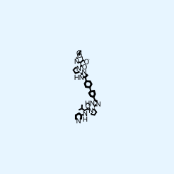 COO/C=N\[C@H](C(=O)N1CCC[C@H]1c1ncc(-c2ccc(-c3ccc(-c4cnc([C@@H]5CCCN5C(=O)[C@@H](Nc5cccnc5)C(C)C)[nH]4)cc3)cc2)[nH]1)[C@@H](C)OC